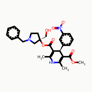 COC(=O)C1=C(C)NC(C)=C(C(=O)O[C@]2(CO)CCN(Cc3ccccc3)C2)[C@H]1c1cccc([N+](=O)[O-])c1